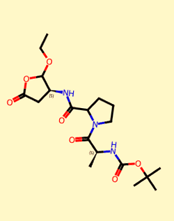 CCOC1OC(=O)C[C@@H]1NC(=O)C1CCCN1C(=O)[C@H](C)NC(=O)OC(C)(C)C